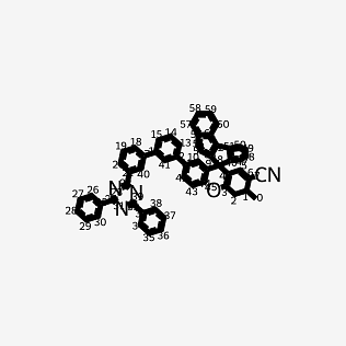 CC1CC2=C(C=C1C#N)C1(c3cc(-c4cccc(-c5cccc(-c6nc(-c7ccccc7)nc(-c7ccccc7)n6)c5)c4)ccc3O2)c2ccccc2-c2c1ccc1ccccc21